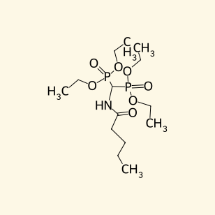 CCCCC(=O)NC(P(=O)(OCC)OCC)P(=O)(OCC)OCC